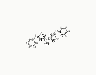 CCC(C1=N[C@H](Cc2ccccc2)CO1)C1=N[C@H](Cc2ccccc2)CO1